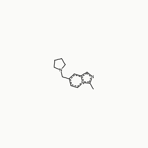 Cc1ncc2cc(CN3CCCC3)ccn12